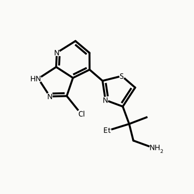 CCC(C)(CN)c1csc(-c2ccnc3[nH]nc(Cl)c23)n1